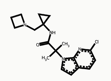 CC(C)(C(=O)NC1(CN2CCC2)CC1)n1ccc2ccc(Cl)nc21